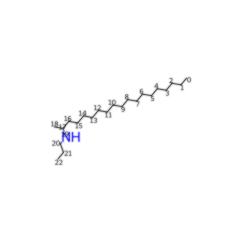 CCCCCCCCCCCCCCCCCC(C)NCCC